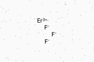 [Er+3].[F-].[F-].[F-]